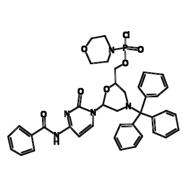 O=C(Nc1ccn(C2CN(C(c3ccccc3)(c3ccccc3)c3ccccc3)CC(COP(=O)(Cl)N3CCOCC3)O2)c(=O)n1)c1ccccc1